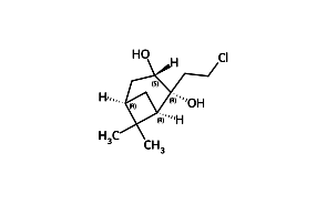 CC1(C)[C@@H]2C[C@H]1[C@](O)(CCCl)[C@@H](O)C2